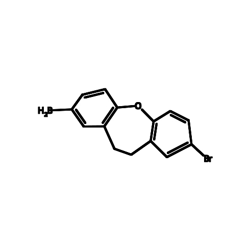 Bc1ccc2c(c1)CCc1cc(Br)ccc1O2